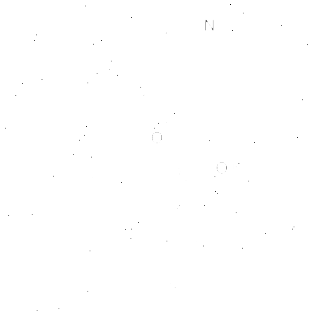 CC(C)(CC#N)Cc1cc2ccccc2c(=O)o1